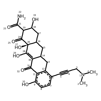 CN(C)CC#Cc1ccc(O)c2c1CC1CC3CC(O)C(C(N)=O)C(=O)[C@@]3(O)C(O)=C1C2=O